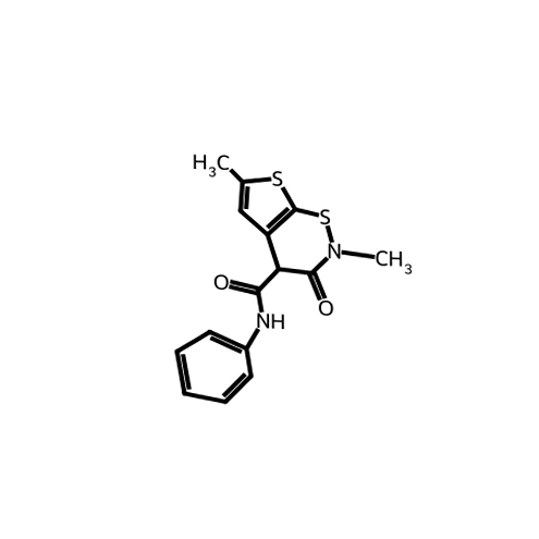 Cc1cc2c(s1)SN(C)C(=O)C2C(=O)Nc1ccccc1